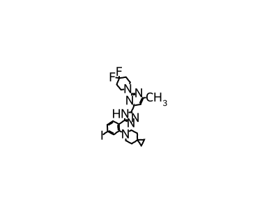 Cc1cc(-c2nnc(-c3ccc(I)cc3N3CCC4(CC3)CC4)[nH]2)nc(N2CCC(F)(F)CC2)n1